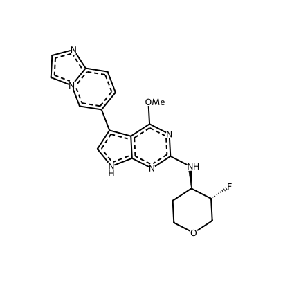 COc1nc(N[C@@H]2CCOC[C@H]2F)nc2[nH]cc(-c3ccc4nccn4c3)c12